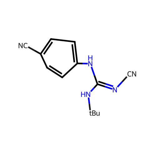 CC(C)(C)N/C(=N/C#N)Nc1ccc(C#N)cc1